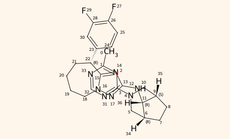 Cc1cc(N2C[C@H]3CC[C@@H](C2)[C@H]3Nc2nc3n(n2)CCCC[C@@H]3c2ccc(F)c(F)c2)ncn1